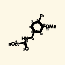 CCCCCCCCC(=O)NCc1ccc(F)c(OC)c1